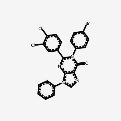 O=c1c2ncn(-c3ccccc3)c2nc(-c2ccc(Cl)c(Cl)c2)n1-c1ccc(Br)cc1